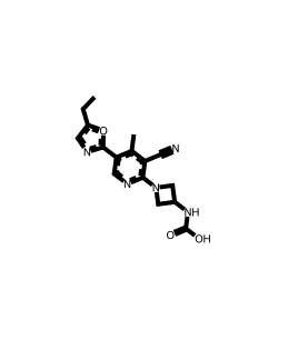 CCc1cnc(-c2cnc(N3CC(NC(=O)O)C3)c(C#N)c2C)o1